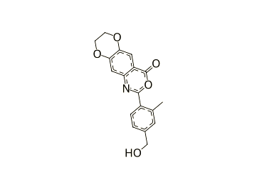 Cc1cc(CO)ccc1-c1nc2cc3c(cc2c(=O)o1)OCCO3